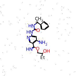 CCC(O)COC(=N)c1cnc(NC(=O)N[C@H](C)c2ccccc2)cc1N